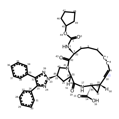 O=C(N[C@H]1CCCCC/C=C\[C@@H]2C[C@@]2(C(=O)O)NC(=O)[C@@H]2C[C@@H](n3nc(-c4ccccc4)c(-c4ccccc4)n3)CN2C1=O)OC1CCCC1